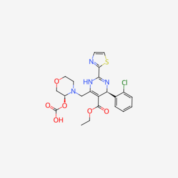 CCOC(=O)C1=C(CN2CCOC[C@@H]2OC(=O)O)NC(c2nccs2)=N[C@H]1c1ccccc1Cl